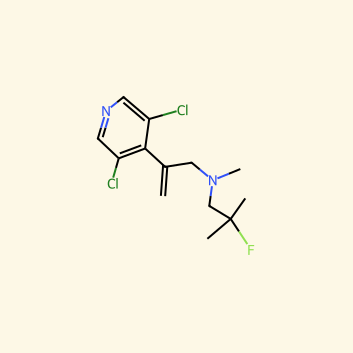 C=C(CN(C)CC(C)(C)F)c1c(Cl)cncc1Cl